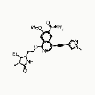 CC[C@@H]1[C@H](F)C(=O)N[C@@H]1CCOc1ncc(C#Cc2cnn(C)c2)c2cc(C(N)=O)c(OC)cc12